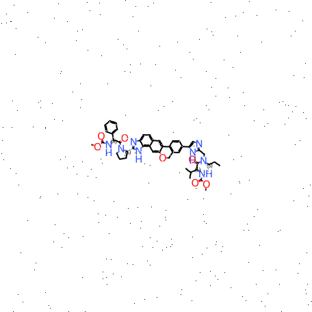 CC[C@H](C)N(Cc1ncc(-c2ccc3c(c2)COc2cc4c(ccc5nc([C@@H]6CCCN6C(=O)[C@H](NC(=O)OC)c6ccccc6)[nH]c54)cc2-3)[nH]1)C(=O)[C@@H](NC(=O)OC)C(C)C